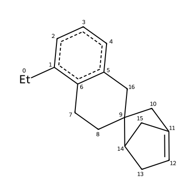 CCc1cccc2c1CCC1(CC3=CCC1C3)C2